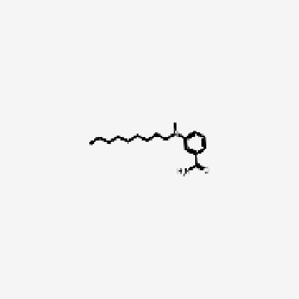 CCCCCCCCCN(C)c1cccc(C(N)=O)c1